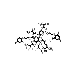 CC(C)C(=O)OC[C@]1(O[C@H]2OC(COCCOc3c(I)cc(I)cc3I)[C@@H](OC(=O)C(C)C)[C@H](OC(=O)C(C)C)[C@H]2OC(=O)C(C)CCC(C)C(=O)O)C[C@H](OC(=O)C(C)C)[C@@H](COCCOc2c(I)cc(I)cc2I)O1